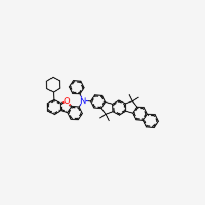 CC1(C)c2cc(N(c3ccccc3)c3cccc4c3oc3c(C5CCCCC5)cccc34)ccc2-c2cc3c(cc21)-c1cc2ccccc2cc1C3(C)C